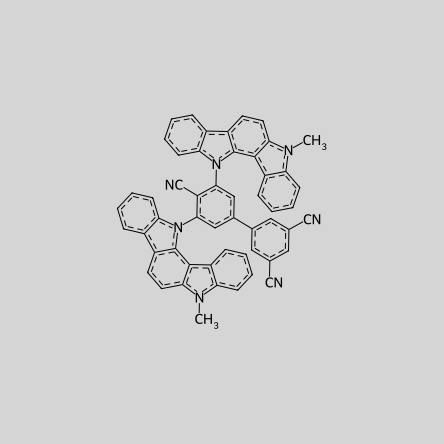 Cn1c2ccccc2c2c1ccc1c3ccccc3n(-c3cc(-c4cc(C#N)cc(C#N)c4)cc(-n4c5ccccc5c5ccc6c(c7ccccc7n6C)c54)c3C#N)c12